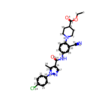 CCOC(=O)C1CCN(c2ccc(NC(=O)c3cnn(-c4ccc(Cl)cc4)c3C)cc2C#N)CC1